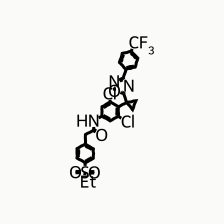 CCS(=O)(=O)c1ccc(CC(=O)Nc2cc(Cl)c(C3(c4nc(-c5ccc(C(F)(F)F)cc5)no4)CC3)c(Cl)c2)cc1